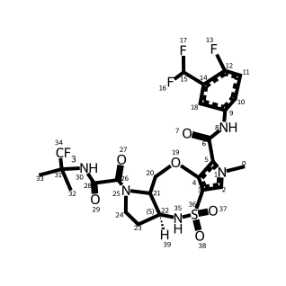 Cn1cc2c(c1C(=O)Nc1ccc(F)c(C(F)F)c1)OCC1[C@H](CCN1C(=O)C(=O)NC(C)(C)C(F)(F)F)NS2(=O)=O